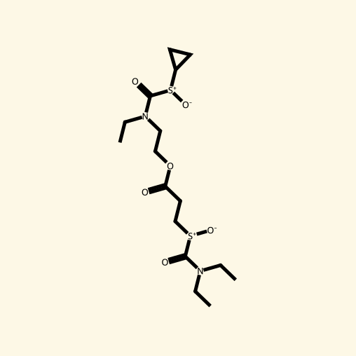 CCN(CC)C(=O)[S+]([O-])CCC(=O)OCCN(CC)C(=O)[S+]([O-])C1CC1